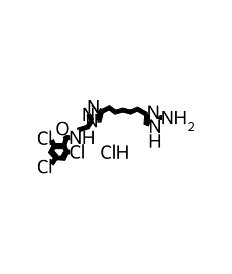 Cl.Nc1nc(CCCCCc2cn(CCNC(=O)c3c(Cl)cc(Cl)cc3Cl)nn2)c[nH]1